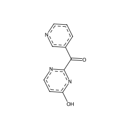 O=C(c1cccnc1)c1nccc(O)n1